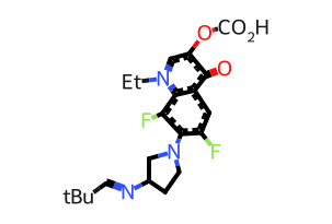 CCn1cc(OC(=O)O)c(=O)c2cc(F)c(N3CCC(N=CC(C)(C)C)C3)c(F)c21